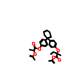 C=C(C)OC(=O)C(C)(CC)Oc1ccc(C2(c3ccc(OC(=O)C(C)OC(=C)C)cc3)CCCCC2)cc1